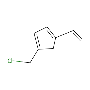 C=CC1=CC=C(CCl)C1